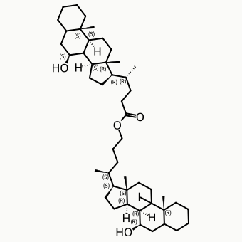 C[C@H](CCC(=O)OCCC[C@H](C)[C@@H]1CC[C@@H]2[C@@H]3[C@H](O)CC4CCCC[C@@]4(C)C3(I)CC[C@]21C)[C@H]1CC[C@H]2C3[C@@H](O)CC4CCCC[C@]4(C)[C@H]3CC[C@]12C